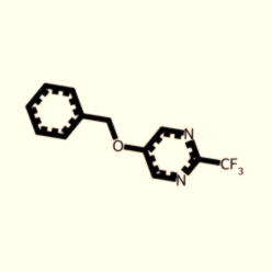 FC(F)(F)c1ncc(OCc2ccccc2)cn1